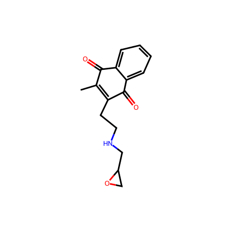 CC1=C(CCNCC2CO2)C(=O)c2ccccc2C1=O